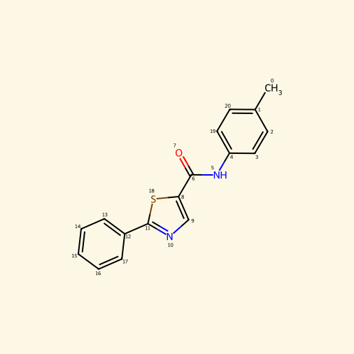 Cc1ccc(NC(=O)c2cnc(-c3ccccc3)s2)cc1